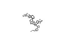 CCCN1CCC(C(=O)Nc2cc(C(F)(F)F)ccc2-c2cc(Oc3cccc4sc(NC(C)=O)nc34)ncn2)C1